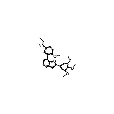 CCNc1ccc(OC)c(-c2ccnc3cc(-c4cc(OC)c(OC)c(OC)c4)oc23)c1